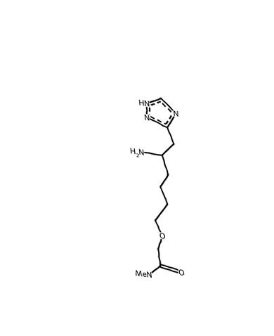 CNC(=O)COCCCCC(N)Cc1nc[nH]n1